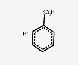 O=S(=O)(O)c1ccccc1.[H+]